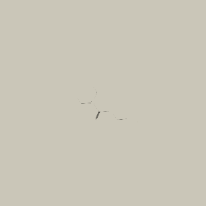 CCOC(=O)N(CO)CO